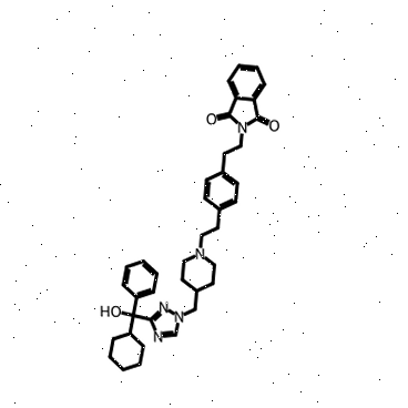 O=C1c2ccccc2C(=O)N1CCc1ccc(CCN2CCC(Cn3cnc(C(O)(c4ccccc4)C4CCCCC4)n3)CC2)cc1